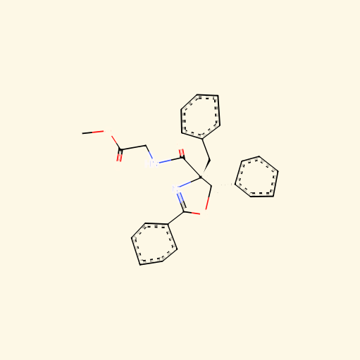 COC(=O)CNC(=O)[C@@]1(Cc2ccccc2)N=C(c2ccccc2)O[C@H]1c1ccccc1